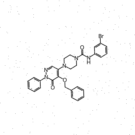 O=C(Nc1cccc(Br)c1)N1CCN(c2cnn(-c3ccccc3)c(=O)c2OCc2ccccc2)CC1